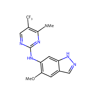 CNc1nc(Nc2cc3[nH]ncc3cc2OC)ncc1C(F)(F)F